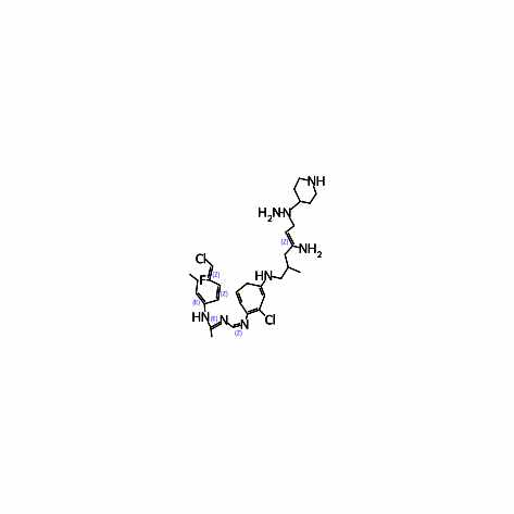 CC\C=C(/C=C\C(F)=C\Cl)N/C(C)=N/C=N\C1=C(Cl)C=C(NCC(C)C/C(N)=C/CN(N)C2CCNCC2)CC=C1